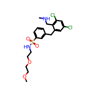 CNCc1c(Cl)cc(Cl)cc1Cc1cccc(S(=O)(=O)NCCOCCOC)c1